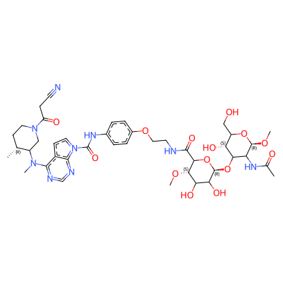 CO[C@@H]1OC(CO)[C@@H](O)C(O[C@@H]2OC(C(=O)NCCOc3ccc(NC(=O)n4ccc5c(N(C)C6CN(C(=O)CC#N)CC[C@H]6C)ncnc54)cc3)[C@@H](OC)C(O)C2O)C1NC(C)=O